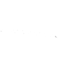 [C]#CCCCCCCCCCCCCCCCCCCCCCCCCCCCCCCCC[CH2]